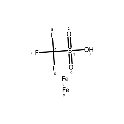 O=S(=O)(O)C(F)(F)F.[Fe].[Fe]